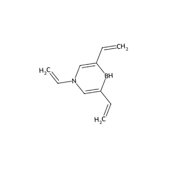 C=CC1=CN(C=C)C=C(C=C)B1